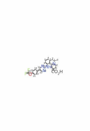 CC(Cc1cccc(Nc2ncc(-c3ccc(OC(F)F)cc3)cn2)c1)N1CCC(C(=O)O)CC1